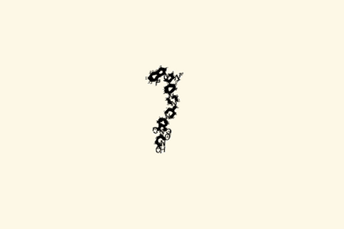 CN(C)[C@H]1CN(C2CCc3cccc(F)c32)C[C@@H]1c1ccc(N2CCN(CC3CCN(c4ccc5c(c4)C(=O)N(C4CCC(=O)NC4=O)C5=O)CC3)CC2)cc1